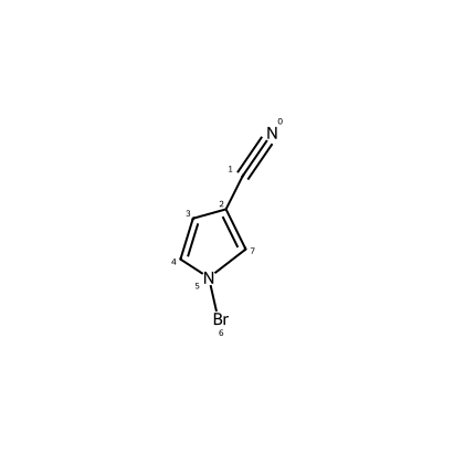 N#Cc1ccn(Br)c1